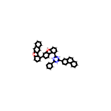 c1ccc(-c2nc(-c3ccc4c(ccc5ccccc54)c3)nc(-c3cccc4oc5cc(-c6cccc7oc8cc9ccccc9cc8c67)ccc5c34)n2)cc1